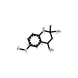 CCCCC1CC(C)(CCCC)Nc2ccc(OCC)cc21